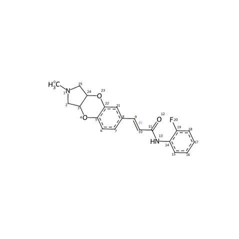 CN1CC2Oc3ccc(/C=C/C(=O)Nc4ccccc4F)cc3OC2C1